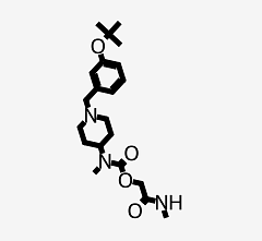 CNC(=O)COC(=O)N(C)C1CCN(Cc2cccc(OC(C)(C)C)c2)CC1